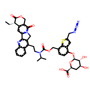 CC[C@@H]1C(=O)OCc2c1cc1n(c2=O)Cc2c-1nc1ccccc1c2CCN(C(=O)OCc1ccc(O[C@@H]2O[C@H](C(=O)O)C[C@H](O)[C@H]2O)c2cc(CN=[N+]=[N-])sc12)C(C)C